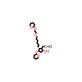 O=CCC1[C@@H](C=CCCCCOCCOC2CCCCO2)[C@H](OC2CCCCO2)C[C@@H]1O